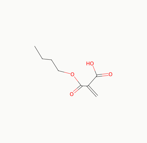 C=C(C(=O)O)C(=O)OCCCC